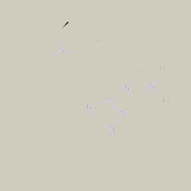 CCCCC(=O)N(Cc1ccc(-c2ccccc2-c2nnn[nH]2)cc1)[C@H](C(=O)O)C(C)C.CCCNCCC.CCCNCCC